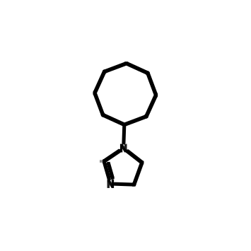 [C]1=NCCN1C1CCCCCCC1